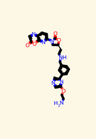 NCCOc1cncc(-c2cccc(CNCC[C@H]3CN(c4ccc5ncc(=O)oc5n4)C(=O)O3)c2)n1